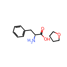 C1CCOC1.N[C@@H](Cc1ccccc1)C(=O)O